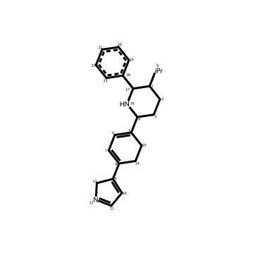 CC(C)C1CCC(C2=CC=C(C3=CC=NC3)CC2)NC1c1ccccc1